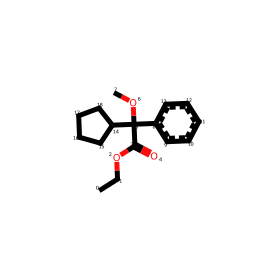 CCOC(=O)C(OC)(c1ccccc1)C1CCCC1